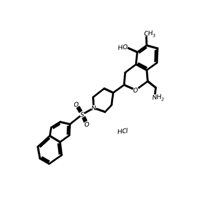 Cc1ccc2c(c1O)CC(C1CCN(S(=O)(=O)c3ccc4ccccc4c3)CC1)OC2CN.Cl